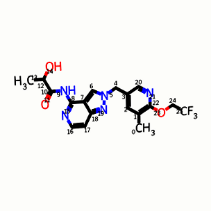 Cc1cc(Cn2cc3c(NC(=O)C(C)O)nccc3n2)cnc1OCC(F)(F)F